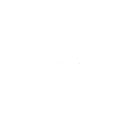 C[Si](C)(CCC1CCC2OC2C1)O[Si](O[Si](C)(C)CCC1CCC2OC2C1)(O[Si](C)(C)CCC1CCC2OC2C1)O[Si](C)(C)CCC1CCC2OC2C1